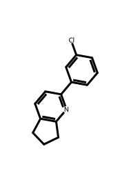 Clc1cccc(-c2ccc3c(n2)CCC3)c1